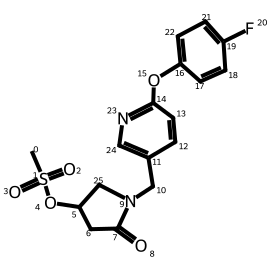 CS(=O)(=O)OC1CC(=O)N(Cc2ccc(Oc3ccc(F)cc3)nc2)C1